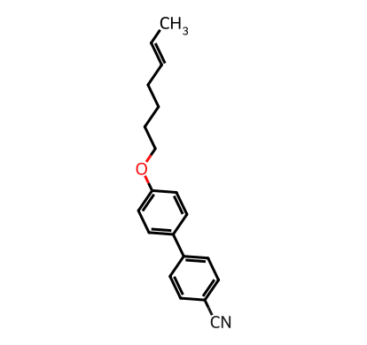 CC=CCCCCOc1ccc(-c2ccc(C#N)cc2)cc1